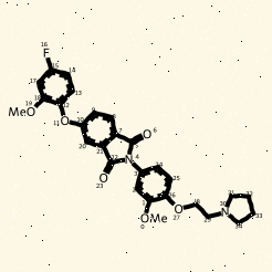 COc1cc(N2C(=O)c3ccc(Oc4ccc(F)cc4OC)cc3C2=O)ccc1OCCN1CCCC1